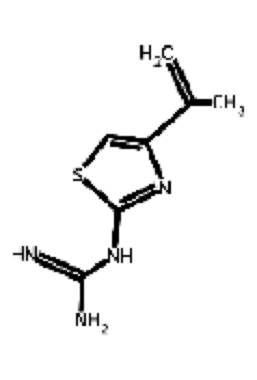 C=C(C)c1csc(NC(=N)N)n1